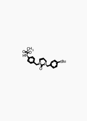 CC(C)(C)c1ccc(CN2CC=CN(Cc3ccc(NS(C)(=O)=O)cc3)C2=O)cc1